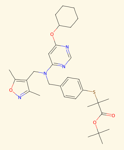 Cc1noc(C)c1CN(Cc1ccc(SC(C)(C)C(=O)OC(C)(C)C)cc1)c1cc(OC2CCCCC2)ncn1